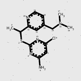 CC(Sc1nc(N)cc(Cl)n1)c1cc(CN(C)C)ccn1